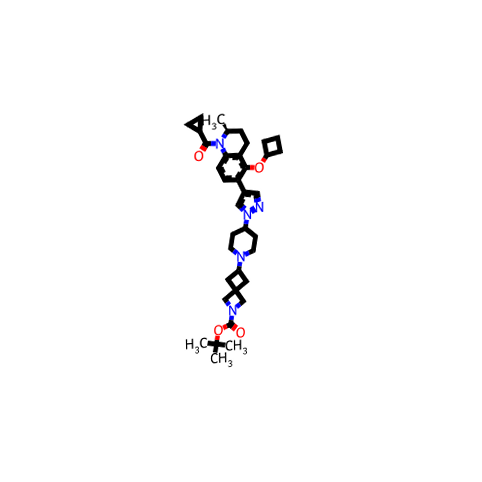 C[C@H]1CCc2c(ccc(-c3cnn(C4CCN(C5CC6(C5)CN(C(=O)OC(C)(C)C)C6)CC4)c3)c2OC2CCC2)N1C(=O)C1CC1